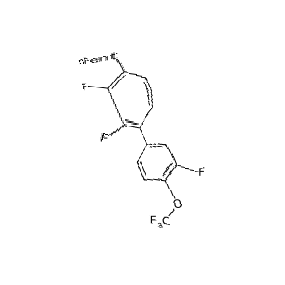 CCCCCc1ccc(-c2ccc(OC(F)(F)F)c(F)c2)c(F)c1F